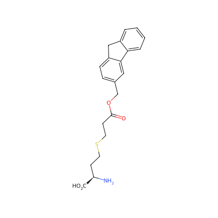 N[C@H](CCSCCC(=O)OCc1ccc2c(c1)-c1ccccc1C2)C(=O)O